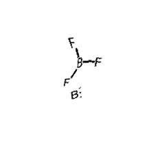 FB(F)F.[B]